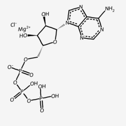 Nc1ncnc2c1ncn2[C@@H]1O[C@H](COP(=O)([O-])OP(=O)(O)OP(=O)(O)O)[C@@H](O)[C@H]1O.[Cl-].[Mg+2]